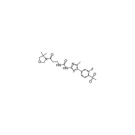 Cc1nc(NC(=O)NCCC(=O)N2COCC2(C)C)sc1-c1ccc(S(C)(=O)=O)c(F)c1